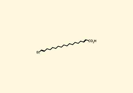 CCC=CCCCCCCCCCCCCCC=CC(=O)O